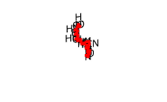 N#Cc1cnn2cc(-c3cnn(C4CCN(C(=O)CC5(O)CCN(c6ccc(NC7CCC(=O)NC7=O)cc6F)CC5)CC4)c3)nc(-c3ccc(N4CCN(C(=O)c5cccnc5)CC4)nc3)c12